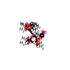 CC[C@H](O[Si](CC)(CC)CC)[C@@H](C)[C@H]1O[C@@H]1C[C@](C)(/C=C/C=C(\C)[C@H]1OC(=O)C[C@H](O[Si](CC)(CC)CC)CC[C@@](C)(OC(C)=O)[C@H](OC(=O)Oc2ccc([N+](=O)[O-])cc2)/C=C/[C@@H]1C)O[Si](CC)(CC)CC